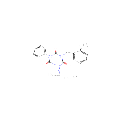 Cc1ccccc1Cn1c(=O)n(-c2ccccc2)c(=O)n([C@H](C(=O)O)C(C)C)c1=O